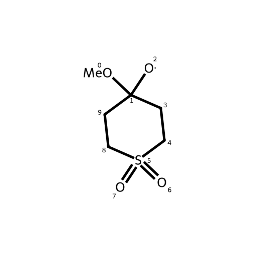 COC1([O])CCS(=O)(=O)CC1